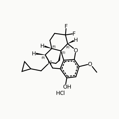 COc1cc(O)c2c3c1O[C@H]1C(F)(F)CC[C@H]4[C@@H](C2)N(CC2CC2)CC[C@@]341.Cl